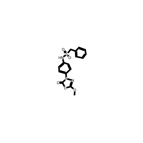 COc1nn(-c2ccc(NS(=O)(=O)Cc3ccccc3)cc2)c(=O)o1